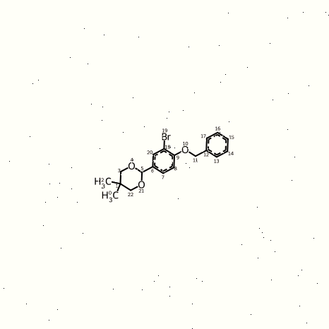 CC1(C)COC(c2ccc(OCc3ccccc3)c(Br)c2)OC1